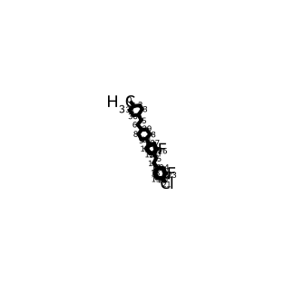 CC1CCC(CCC2CCC(c3ccc(CCc4ccc(Cl)c(F)c4)c(F)c3)CC2)CC1